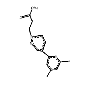 COC(=O)CC[n+]1ccc(-c2nc(C)cc(C)n2)cn1